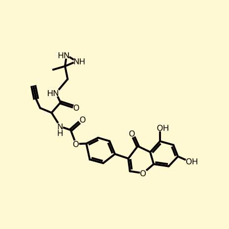 C#CCC(NC(=O)Oc1ccc(-c2coc3cc(O)cc(O)c3c2=O)cc1)C(=O)NCC1(C)NN1